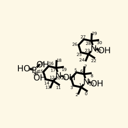 CC1(C)CCCC(C)(C)N1O.CC1(C)CCCC(C)(C)N1O.CC1(C)CCCC(C)(C)N1O.OP(O)O